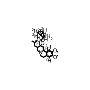 [2H]c1c2c(c([2H])c(OC)c1OC)C1([2H])CC([2H])(OC(=O)[C@@]([2H])(N)C([2H])(C([2H])([2H])[2H])C([2H])([2H])[2H])C(CC(C)C)CN1CC2